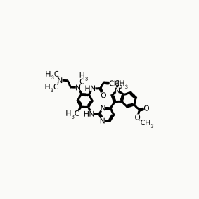 C=CC(=O)Nc1cc(Nc2nccc(-c3cn(C)c4ccc(C(=O)OC)cc34)n2)c(C)cc1N(C)CCN(C)C